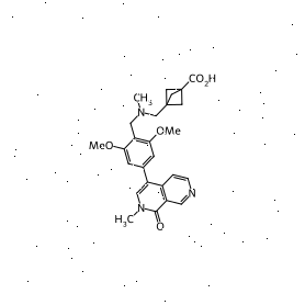 COc1cc(-c2cn(C)c(=O)c3cnccc23)cc(OC)c1CN(C)CC12CC(C(=O)O)(C1)C2